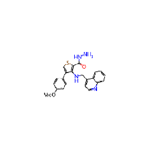 COc1ccc(-c2csc(C(=O)NN)c2NCc2ccnc3ccccc23)cc1